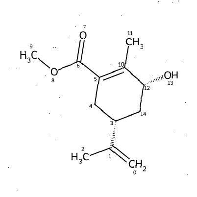 C=C(C)[C@@H]1CC(C(=O)OC)=C(C)[C@H](O)C1